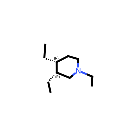 CC[C@@H]1CCN(CC)C[C@@H]1CC